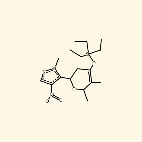 CC[Si](CC)(CC)OC1=C(C)C(C)OC(c2c([N+](=O)[O-])cnn2C)C1